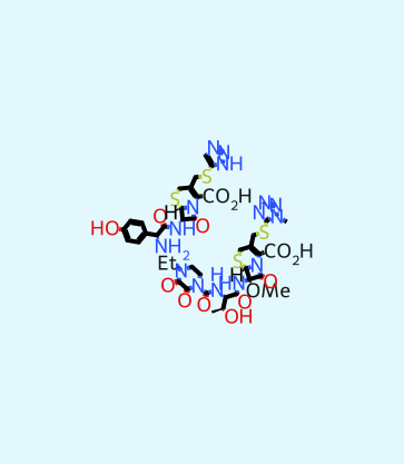 CCN1CCN(C(=O)N[C@@H](C(=O)N[C@]2(OC)C(=O)N3C(C(=O)O)=C(CSc4nnnn4C)CS[C@@H]32)[C@H](C)O)C(=O)C1=O.N[C@@H](C(=O)N[C@@H]1C(=O)N2C(C(=O)O)=C(CSc3cnn[nH]3)CS[C@H]12)c1ccc(O)cc1